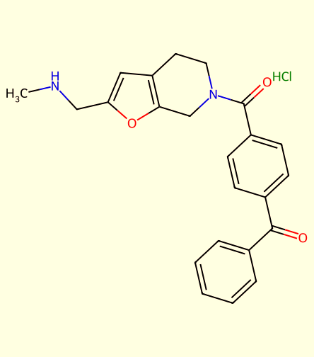 CNCc1cc2c(o1)CN(C(=O)c1ccc(C(=O)c3ccccc3)cc1)CC2.Cl